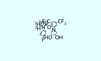 [2H]C([2H])([2H])N(C(=O)Oc1c(N2C[C@@H](O)[C@@H](O)C2)cc(C(F)(F)F)cc1C(F)(F)F)c1ccc(F)cc1